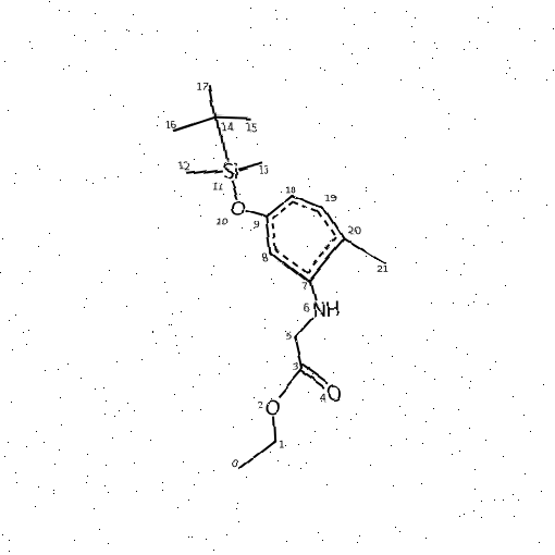 CCOC(=O)CNc1cc(O[Si](C)(C)C(C)(C)C)ccc1C